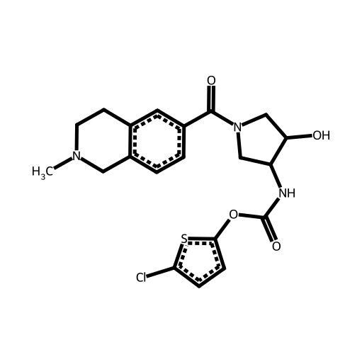 CN1CCc2cc(C(=O)N3CC(O)C(NC(=O)Oc4ccc(Cl)s4)C3)ccc2C1